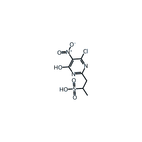 CC(Cc1nc(O)c([N+](=O)[O-])c(Cl)n1)S(=O)(=O)O